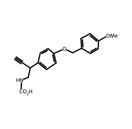 C#CC(CNC(=O)O)c1ccc(OCc2ccc(OC)cc2)cc1